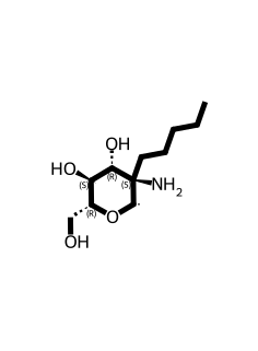 CCCCC[C@]1(N)[CH]O[C@H](CO)[C@@H](O)[C@@H]1O